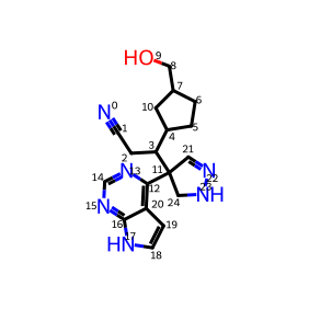 N#CCC(C1CCC(CO)C1)C1(c2ncnc3[nH]ccc23)C=NNC1